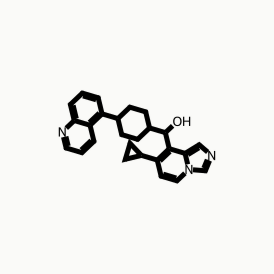 OC(c1c(C2CC2)ccn2cncc12)C1CCC(c2cccc3ncccc23)CC1